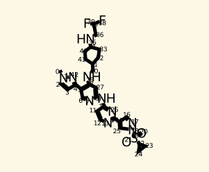 Cn1ccc(-c2cnc(Nc3ccnc(-c4cnn(S(=O)(=O)C5CC5)c4)n3)cc2NCC2CCC(NCC(F)F)CC2)n1